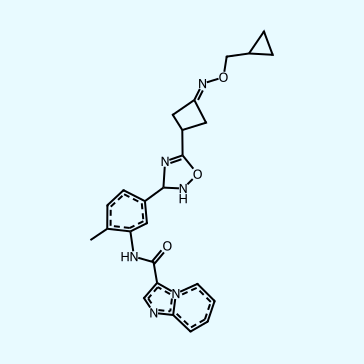 Cc1ccc(C2N=C(C3CC(=NOCC4CC4)C3)ON2)cc1NC(=O)c1cnc2ccccn12